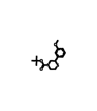 COc1cccc(C2CN(C(=O)OC(C)(C)C)CCS2)c1